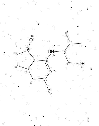 CC(C)C(CO)NC1=NC(Cl)=NC2CC[S+]([O-])C12